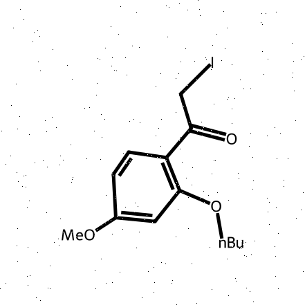 CCCCOc1cc(OC)ccc1C(=O)CI